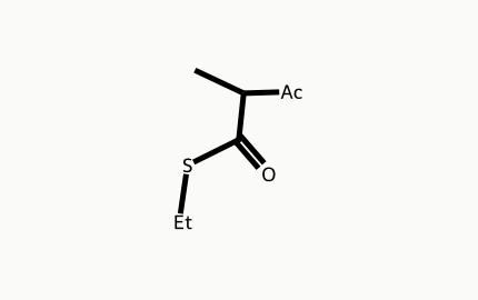 CCSC(=O)C(C)C(C)=O